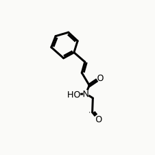 O=[C]CN(O)C(=O)/C=C/c1ccccc1